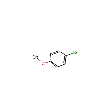 O=NOc1ccc(Br)cc1